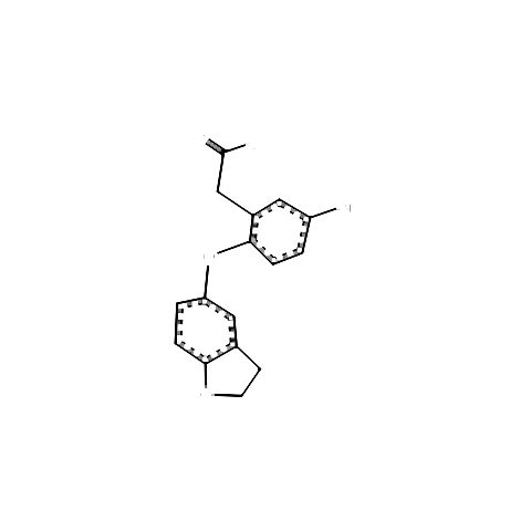 O=C(Cl)Cc1cc(Br)ccc1Oc1ccc2c(c1)CCO2